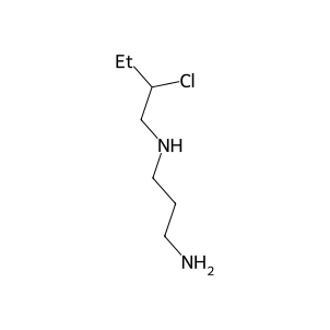 CCC(Cl)CNCCCN